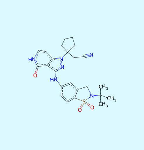 CC(C)(C)N1Cc2cc(Nc3nn(C4(CC#N)CCCC4)c4cc[nH]c(=O)c34)ccc2S1(=O)=O